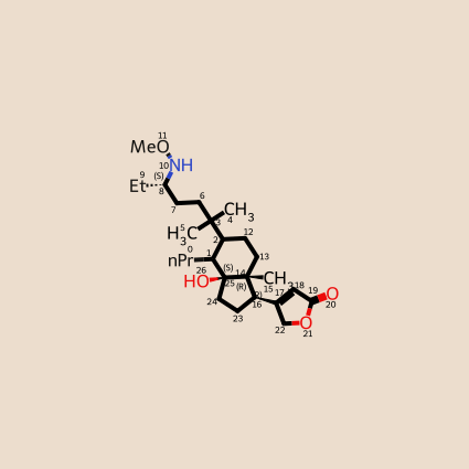 CCCC1C(C(C)(C)CC[C@H](CC)NOC)CC[C@]2(C)[C@@H](C3=CC(=O)OC3)CC[C@]12O